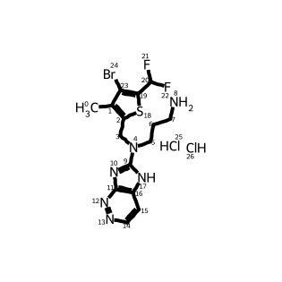 Cc1c(CN(CCCN)c2nc3nnccc3[nH]2)sc(C(F)F)c1Br.Cl.Cl